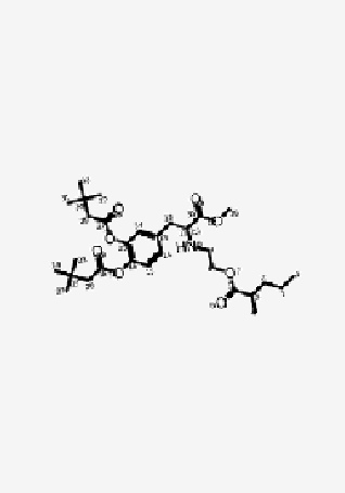 CCCC(C)C(=O)OCCN[C@@H](Cc1ccc(OC(=O)CC(C)(C)C)c(OC(=O)CC(C)(C)C)c1)C(=O)OC